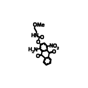 COCCNC(=O)Oc1cc([N+](=O)[O-])c2c(c1N)C(=O)c1ccccc1C2=O